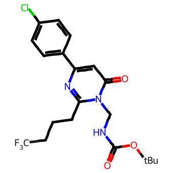 CC(C)(C)OC(=O)NCn1c(CCCC(F)(F)F)nc(-c2ccc(Cl)cc2)cc1=O